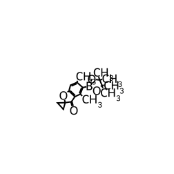 Cc1cc2c(c(C)c1B1OC(C)(C)C(C)(C)O1)C(=O)C1(CC1)O2